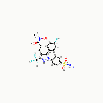 CN(O)C(=O)CCc1c(C(F)(F)F)nn(-c2ccc(S(N)(=O)=O)cc2)c1-c1ccc(F)cc1